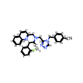 CC(Cc1ccccc1F)N(Cc1ccc2ccccc2n1)Cc1nncn1Cc1ccc(C#N)cc1